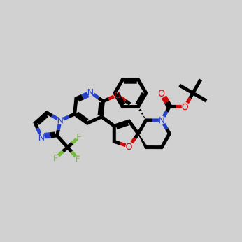 COc1ncc(-n2ccnc2C(F)(F)F)cc1C1=C[C@@]2(CCCN(C(=O)OC(C)(C)C)[C@H]2c2ccccc2)OC1